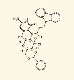 Nc1nc2c(c(=O)[nH]1)N(C(=O)OCC1c3ccccc3-c3ccccc31)[C@@]13OC1(O)[C@H]1OC(c4ccccc4)OC[C@H]1O[C@H]3N2